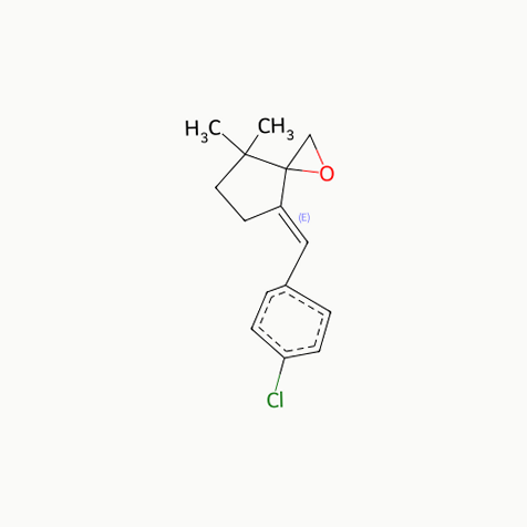 CC1(C)CC/C(=C\c2ccc(Cl)cc2)C12CO2